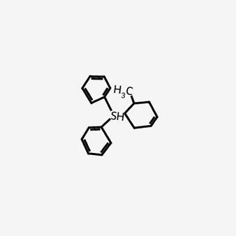 CC1CC=CCC1[SH](c1ccccc1)c1ccccc1